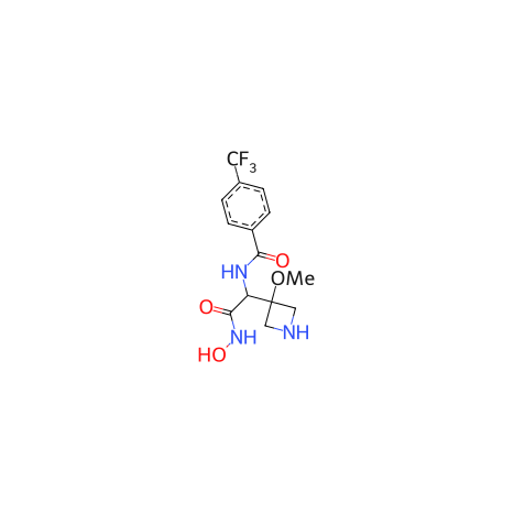 COC1(C(NC(=O)c2ccc(C(F)(F)F)cc2)C(=O)NO)CNC1